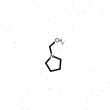 [CH2]CN1CCCC1